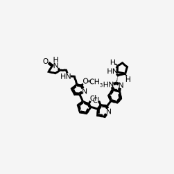 COc1nc(-c2cccc(-c3ccnc(-c4ccc5nc([C@@H]6N[C@@H]7CC[C@H]6C7)[nH]c5c4)c3Cl)c2Cl)ccc1CNCC1CCC(=O)N1